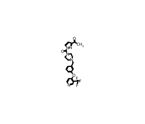 CC(=O)c1ccn(C(=O)N2CCN(Cc3cccc(Oc4ccncc4C(F)(F)F)c3)CC2)n1